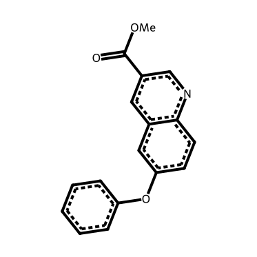 COC(=O)c1cnc2ccc(Oc3ccccc3)cc2c1